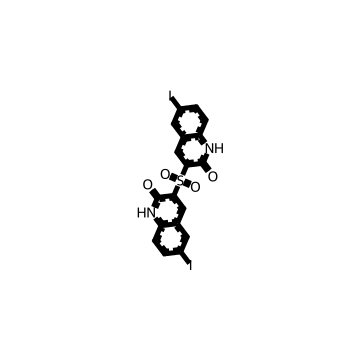 O=c1[nH]c2ccc(I)cc2cc1S(=O)(=O)c1cc2cc(I)ccc2[nH]c1=O